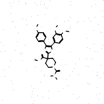 COC(=O)C1(c2nc(-c3ccc(OC)cc3)c(-c3ccc(OC)c(OC)c3)o2)CCN(C(=O)N(C)O)CC1